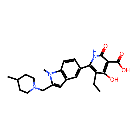 CCc1c(-c2ccc3c(c2)cc(CN2CCC(C)CC2)n3C)[nH]c(=O)c(C(=O)O)c1O